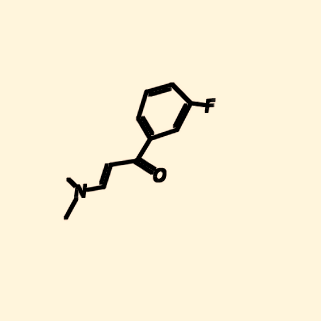 CN(C)/C=C/C(=O)c1cccc(F)c1